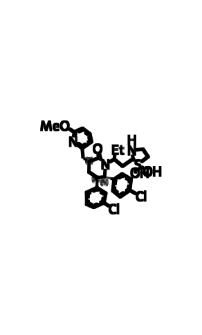 CCC(CC1NCCS1(O)O)N1C(=O)[C@@H](Cc2cccc(OC)n2)C[C@H](c2cccc(Cl)c2)[C@H]1c1ccc(Cl)cc1